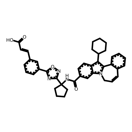 O=C(O)C=Cc1cccc(-c2nc(C3(NC(=O)c4ccc5c(C6CCCCC6)c6n(c5c4)CC=Cc4ccccc4-6)CCCC3)no2)c1